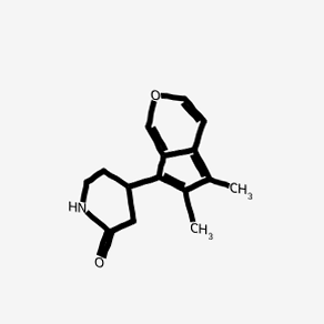 Cc1c2ccocc-2c(C2CCNC(=O)C2)c1C